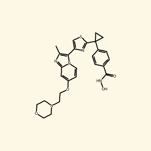 Cc1nc2cc(OCCN3CCOCC3)ccn2c1-c1csc(C2(c3ccc(C(=O)NO)cc3)CC2)n1